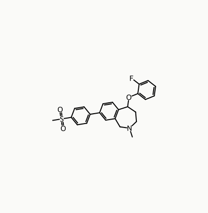 CN1CCC(Oc2ccccc2F)c2ccc(-c3ccc(S(C)(=O)=O)cc3)cc2C1